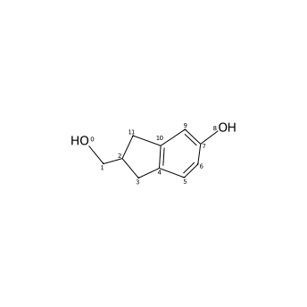 OCC1Cc2ccc(O)cc2C1